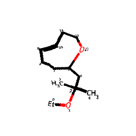 CCOC(C)(C)CC1CC/C=C/CCO1